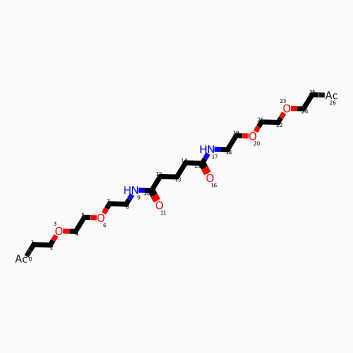 CC(=O)CCOCCOCCNC(=O)CCCC(=O)NCCOCCOCCC(C)=O